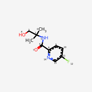 CC(C)(CO)NC(=O)c1ccc(F)cn1